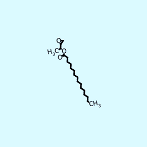 CCCCCCCCCCCCCCCC(=O)OC(C)C1CO1